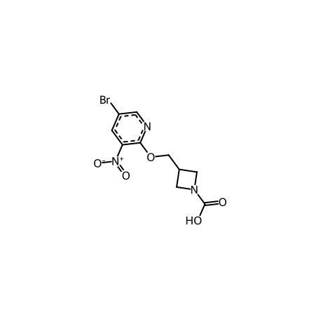 O=C(O)N1CC(COc2ncc(Br)cc2[N+](=O)[O-])C1